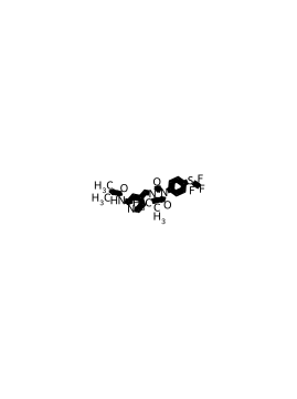 CC(C)C(=O)Nc1cc(CN2C(=O)N(c3ccc(SC(F)(F)F)cc3)C(=O)C2(C)C)ccn1